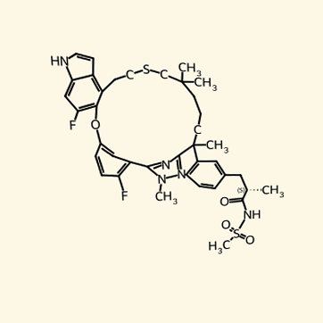 C[C@@H](Cc1cccc(C2(C)CCCC(C)(C)CSCCc3c(c(F)cc4[nH]ccc34)Oc3ccc(F)c(c3)-c3nc2nn3C)c1)C(=O)NS(C)(=O)=O